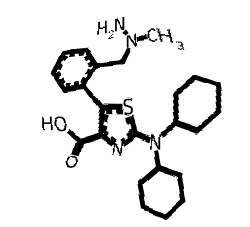 CN(N)Cc1ccccc1-c1sc(N(C2CCCCC2)C2CCCCC2)nc1C(=O)O